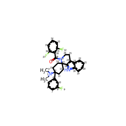 CN(C)C1(c2cccc(F)c2)CCC2(CC1)c1[nH]c3ccccc3c1CCN2C(=O)c1c(F)cccc1F